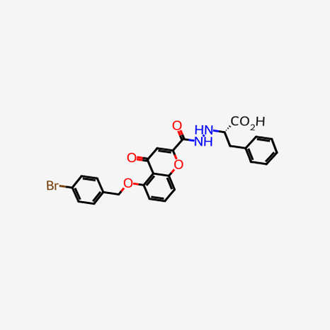 O=C(NN[C@@H](Cc1ccccc1)C(=O)O)c1cc(=O)c2c(OCc3ccc(Br)cc3)cccc2o1